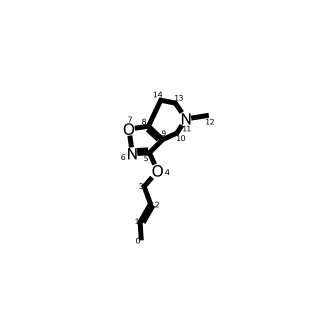 CC=CCOc1noc2c1CN(C)CC2